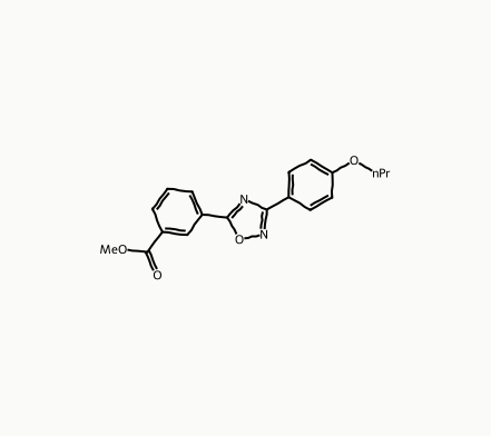 CCCOc1ccc(-c2noc(-c3cccc(C(=O)OC)c3)n2)cc1